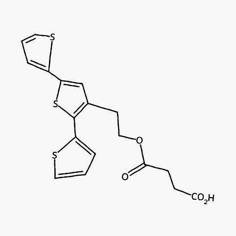 O=C(O)CCC(=O)OCCc1cc(-c2cccs2)sc1-c1cccs1